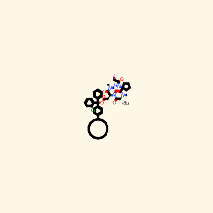 CC[C@H](C)[C@@H](C(=O)N(C)[C@@H](CC(=O)OC(c1ccccc1)(c1ccc(C2CCCCCCCCCCCCC2)cc1)c1ccccc1Cl)C(=O)N(C)C)N(C)C(=O)C1(NC(=O)CI)CCCC1